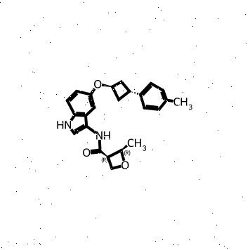 Cc1ccc([C@H]2C[C@H](Oc3ccc4[nH]cc(NC(=O)[C@@H]5CO[C@@H]5C)c4c3)C2)cc1